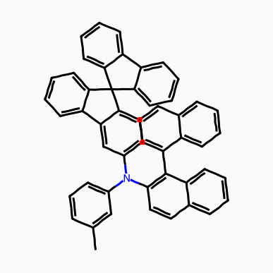 Cc1cccc(N(c2ccc3c(c2)-c2ccccc2C32c3ccccc3-c3ccccc32)c2ccc3ccccc3c2-c2cccc3ccccc23)c1